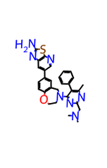 Cc1nc(CN(C)C)nc(N2CCOc3ccc(-c4cnc5sc(N)nc5c4)cc3C2)c1-c1ccccc1